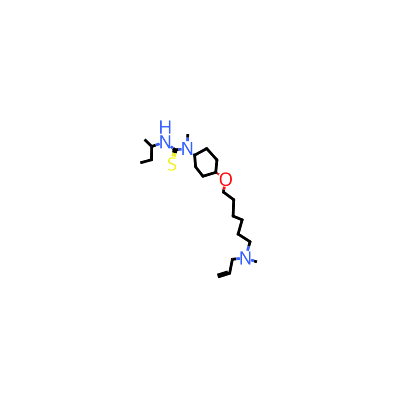 C=CCN(C)CCCCCCO[C@H]1CC[C@H](N(C)C(=S)NC(C)CC)CC1